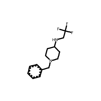 FC(F)(F)CNC1CCN(Cc2ccccc2)CC1